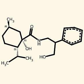 CC(C)[C@@H]1CC[C@@H](C)C[C@@]1(O)C(=O)NCC(CO)c1ccccc1